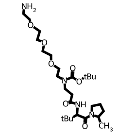 CC1CCCN1C(=O)C(NC(=O)CCN(CCOCCOCCOCCN)C(=O)OC(C)(C)C)C(C)(C)C